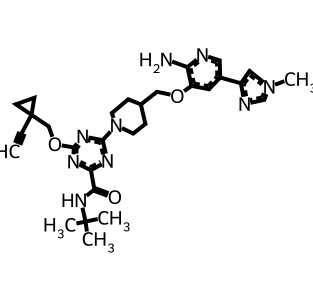 C#CC1(COc2nc(C(=O)NC(C)(C)C)nc(N3CCC(COc4cc(-c5cn(C)cn5)cnc4N)CC3)n2)CC1